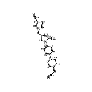 N#CC=C1CCN(c2ccc(N3CC(Cn4cc(C#N)nn4)OC3=O)cc2)CC1